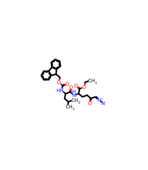 CCOC(=O)C(CCC(=O)C=[N+]=[N-])NC(=O)C(CC(C)C)NC(=O)OCC1c2ccccc2-c2ccccc21